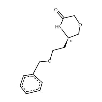 O=C1COC[C@@H](CCOCc2ccccc2)N1